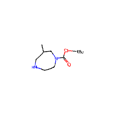 CC1CNCCN(C(=O)OC(C)(C)C)C1